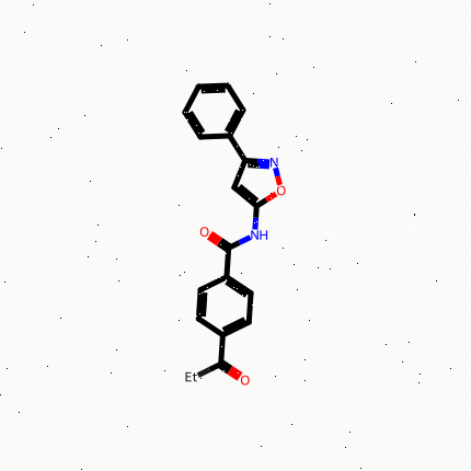 CCC(=O)c1ccc(C(=O)Nc2cc(-c3ccccc3)no2)cc1